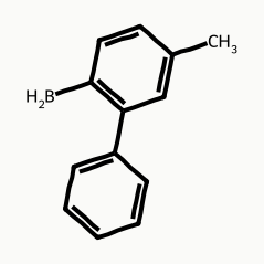 Bc1ccc(C)cc1-c1ccccc1